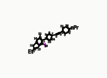 CCCc1ccc(C#Cc2ccc(-c3c(C)cc4c(c3I)C=C(CC)C4)cc2)cc1